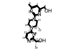 Cc1cc(CO)nc(N2CCN(c3ccnc([C@@H](C)O)n3)[C@@H](C)C2)n1